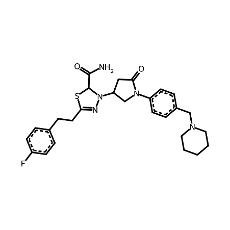 NC(=O)C1SC(CCc2ccc(F)cc2)=NN1C1CC(=O)N(c2ccc(CN3CCCCC3)cc2)C1